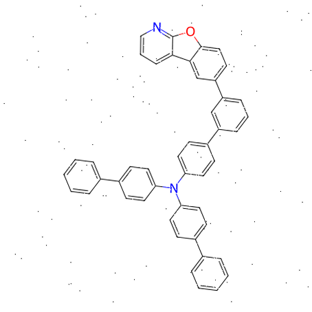 c1ccc(-c2ccc(N(c3ccc(-c4ccccc4)cc3)c3ccc(-c4cccc(-c5ccc6oc7ncccc7c6c5)c4)cc3)cc2)cc1